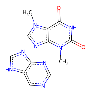 Cn1cnc2c1c(=O)[nH]c(=O)n2C.c1ncc2[nH]cnc2n1